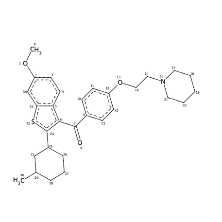 COc1ccc2c(C(=O)c3ccc(OCCN4CCCCC4)cc3)c(C3CCCC(C)C3)sc2c1